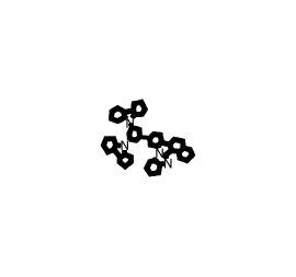 c1ccc2c(c1)ccc1c3ccc(-c4cc(-n5c6ccccc6c6ccccc65)cc(-n5c6ccccc6c6ccccc65)c4)cc3n3c4ccccc4nc3c21